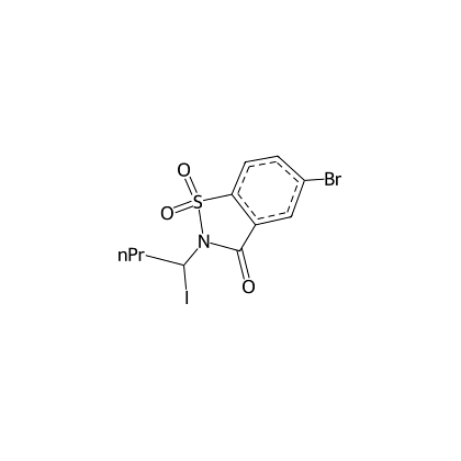 CCCC(I)N1C(=O)c2cc(Br)ccc2S1(=O)=O